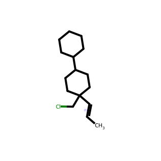 C/C=C/C1(CCl)CCC(C2CCCCC2)CC1